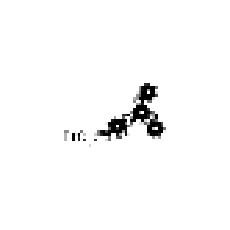 CCOC(=O)CCc1ccc(OCc2cc(Oc3ccccc3)cc(Oc3ccccc3)c2)c(F)c1